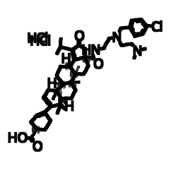 CC(C)C1=C2[C@H]3CC[C@@H]4[C@@]5(C)CC=C(C6=CC[C@H](C(=O)O)CC6)C(C)(C)[C@@H]5CC[C@@]4(C)[C@]3(C)CC[C@@]2(C(=O)NCCN(CCN(C)C)Cc2ccc(Cl)cc2)CC1=O.Cl.Cl